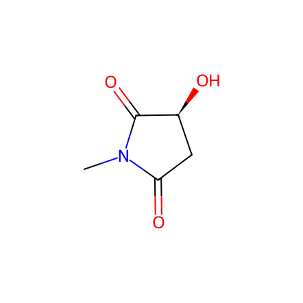 CN1C(=O)C[C@H](O)C1=O